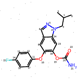 CC(C)Cn1ncc2cc(Oc3ccc(F)cc3)c(OC(N)=O)cc21